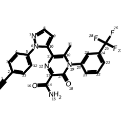 C#Cc1ccc(-n2nccc2-c2nc(C(N)=O)c(=O)n(-c3cccc(C(F)(F)F)c3)c2C)cc1